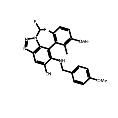 COc1ccc(CNc2c(C#N)cc3nnn(C(F)F)c3c2-c2c(C)ccc(OC)c2C)cc1